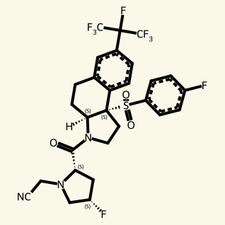 N#CCN1C[C@@H](F)C[C@H]1C(=O)N1CC[C@]2(S(=O)(=O)c3ccc(F)cc3)c3ccc(C(F)(C(F)(F)F)C(F)(F)F)cc3CC[C@H]12